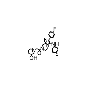 O=C(CN1CCCC(O)C1)N1CCn2c(nc(-c3ccc(F)cc3)c2Nc2ccc(F)cc2)C1